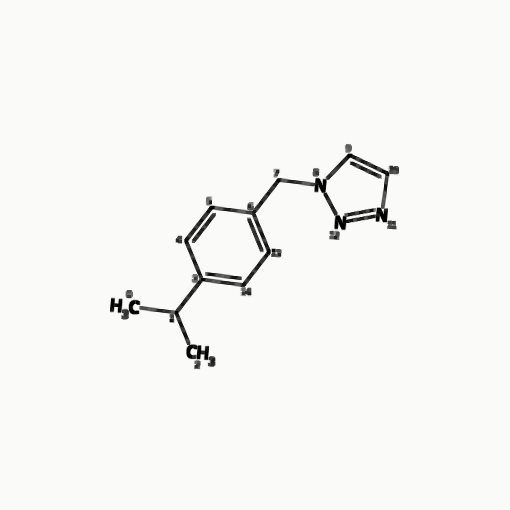 CC(C)c1ccc(Cn2ccnn2)cc1